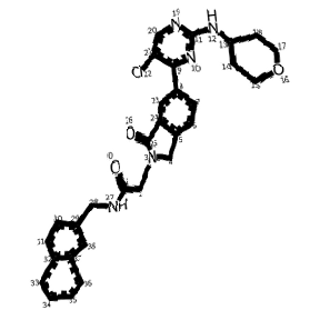 O=C(CN1Cc2ccc(-c3nc(NC4CCOCC4)ncc3Cl)cc2C1=O)NCc1ccc2ccccc2c1